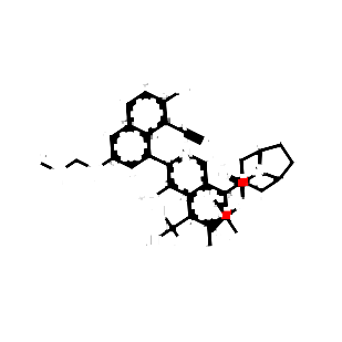 [2H]C([2H])([2H])c1c(C)nc(N2CC3CCC(C2)N3C(=O)OC(C)(C)C)c2cnc(-c3cc(OCOC)cc4ccc(F)c(C#C)c34)c(F)c12